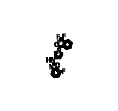 O=C(c1ccccc1C(F)(F)F)N1CC[C@@H](Nc2nc3cccc(F)c3o2)C1